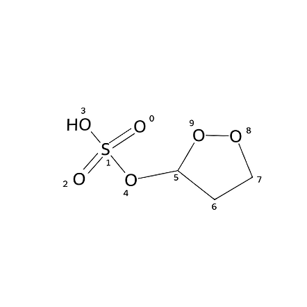 O=S(=O)(O)OC1CCOO1